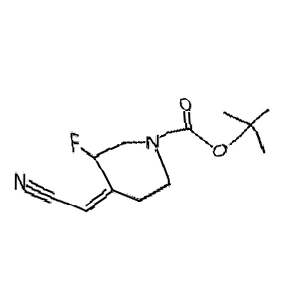 CC(C)(C)OC(=O)N1CCC(=CC#N)C(F)C1